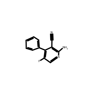 N#Cc1c(N)ncc(F)c1-c1ccccc1